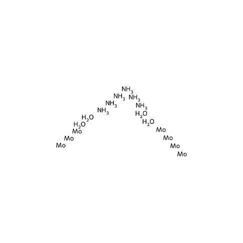 N.N.N.N.N.N.O.O.O.O.[Mo].[Mo].[Mo].[Mo].[Mo].[Mo].[Mo]